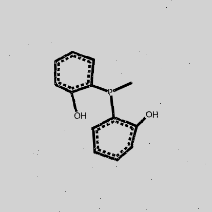 CP(c1ccccc1O)c1ccccc1O